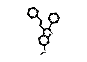 COc1ccc2c(C=Cc3ccccc3)c(-c3ccccc3)sc2c1